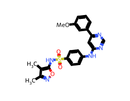 COc1cccc(-c2cc(Nc3ccc(S(=O)(=O)Nc4onc(C)c4C)cc3)ncn2)c1